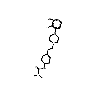 CN(C)C(=O)NC1CCC(CCN2CCN(c3ccnc(Cl)c3Cl)CC2)CC1